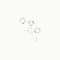 CN1C(=O)C2(N=C1N)c1cc(OC3COC3)ccc1Oc1ccc(-c3cccnc3F)cc12